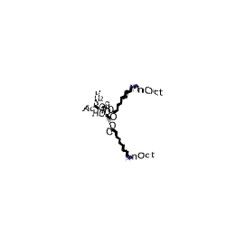 CCCCCCCC/C=C\CCCCCCCC(=O)OC[C@H](COP(=O)(O)OCC(N)C(C)=O)OC(=O)CCCCCCC/C=C\CCCCCCCC